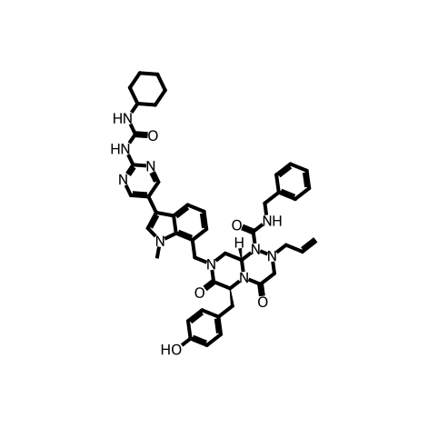 C=CCN1CC(=O)N2[C@@H](Cc3ccc(O)cc3)C(=O)N(Cc3cccc4c(-c5cnc(NC(=O)NC6CCCCC6)nc5)cn(C)c34)C[C@@H]2N1C(=O)NCc1ccccc1